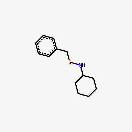 c1ccc(CSNC2CCCCC2)cc1